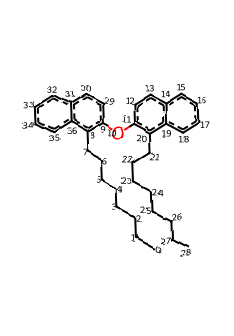 CCCCCCCCc1c(Oc2ccc3ccccc3c2CCCCCCCC)ccc2ccccc12